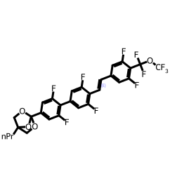 CCCC12COC(c3cc(F)c(-c4cc(F)c(/C=C/c5cc(F)c(C(F)(F)OC(F)(F)F)c(F)c5)c(F)c4)c(F)c3)(OC1)O2